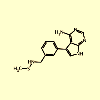 CSNCc1cccc(-c2c[nH]c3ncnc(N)c23)c1